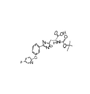 CC(C)(C)OC(=O)NC(Cc1nc(-c2cccc(Oc3ccc(I)cn3)c2)no1)C(=O)O